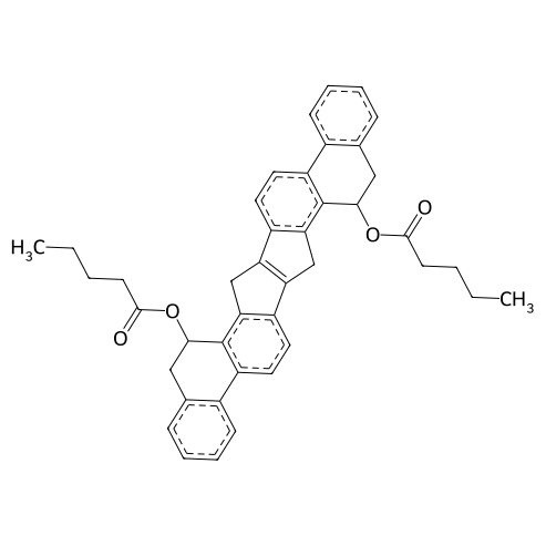 CCCCC(=O)OC1Cc2ccccc2-c2ccc3c(c21)CC1=C3Cc2c1ccc1c2C(OC(=O)CCCC)Cc2ccccc2-1